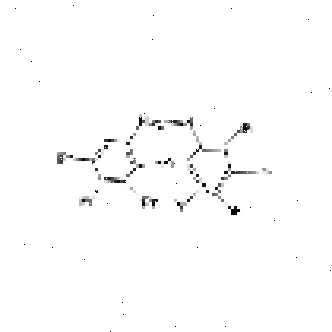 CC(C)c1cc(N=C=Nc2cc(C(C)C)c(C(C)C)c(C(C)C)c2C(C)C)c(C(C)C)c(C(C)C)c1C(C)C